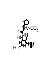 Cc1nc(NNC(=O)[C@@H](CNC(=O)O)CC2CCCC2)c(F)c(NC(C)C)n1